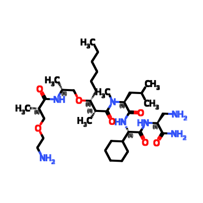 CCCCCC[C@@H](OC[C@@H](C)NC(=O)[C@@H](C)COCCN)[C@@H](C)C(=O)N(C)[C@@H](CC(C)C)C(=O)N[C@H](C(=O)N[C@@H](CN)C(N)=O)C1CCCCC1